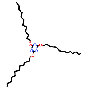 CCCCCCCCCCCCOc1nc(OCCCCCCCCCCCC)nc(OCCCCCCCCCCCC)n1